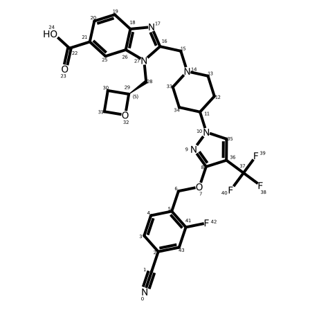 N#Cc1ccc(COc2nn(C3CCN(Cc4nc5ccc(C(=O)O)cc5n4C[C@@H]4CCO4)CC3)cc2C(F)(F)F)c(F)c1